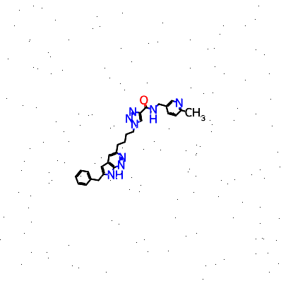 Cc1ccc(CNC(=O)c2cn(CCCCc3cc4cc(Cc5ccccc5)[nH]c4nn3)nn2)cn1